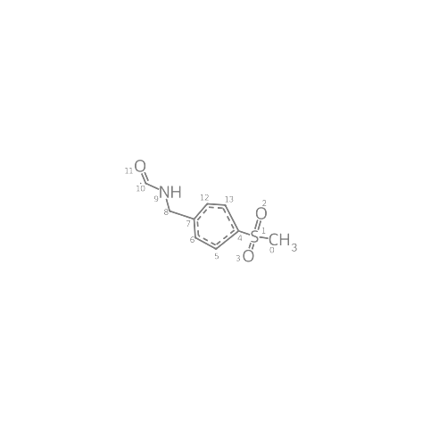 CS(=O)(=O)c1ccc(CN[C]=O)cc1